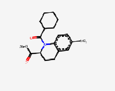 COC(=O)C1CCc2cc([N+](=O)[O-])ccc2N1C(=O)C1CCCCC1